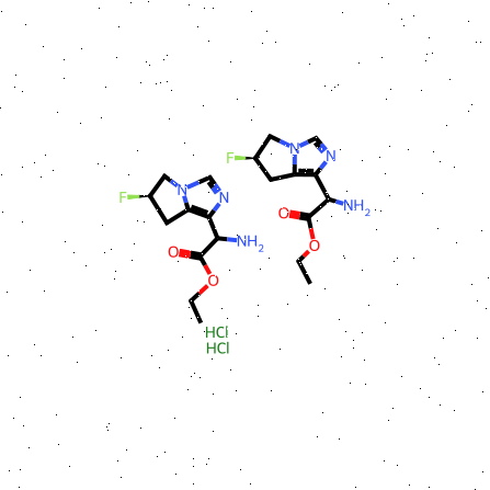 CCOC(=O)C(N)c1ncn2c1C[C@@H](F)C2.CCOC(=O)C(N)c1ncn2c1C[C@@H](F)C2.Cl.Cl